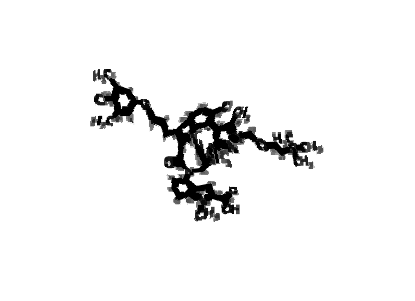 Cc1cc(OCCCc2c3n(c4c(-c5c(C)nn(COCC[Si](C)(C)C)c5C)c(Cl)ccc24)[C@H](C)CN(c2cccc4c2cc(C(=O)O)n4C)C3=O)cc(C)c1Cl